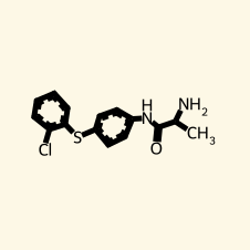 CC(N)C(=O)Nc1ccc(Sc2ccccc2Cl)cc1